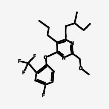 CCCc1c(CC(C)CC)nc(COC)nc1Oc1ccc(F)cc1C(F)(F)F